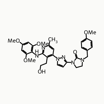 COc1ccc(CN2CCN(c3ccn(-c4cc(C)nc(Nc5c(OC)cc(OC)cc5OC)c4CCO)n3)C2=O)cc1